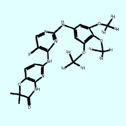 [2H]C([2H])([2H])Oc1cc(Nc2ncc(F)c(Nc3ccc4c(n3)NC(=O)C(C)(C)O4)n2)cc(OC([2H])([2H])[2H])c1OC([2H])([2H])[2H]